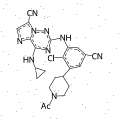 CC(=O)N1CCC(c2cc(C#N)cc(Nc3nc(NC4CC4)c4ncc(C#N)n4n3)c2Cl)CC1